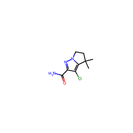 CC1(C)CCn2nc(C(N)=O)c(Cl)c21